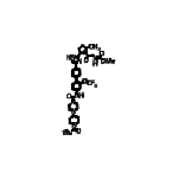 COC(=O)NCC(=O)N1C(C)CCC1c1nc(-c2ccc(-c3ccc(NC(=O)N4CCN(C5CCN(C(=O)C(C)(C)C)CC5)CC4)cc3OC(F)(F)F)cc2)c[nH]1